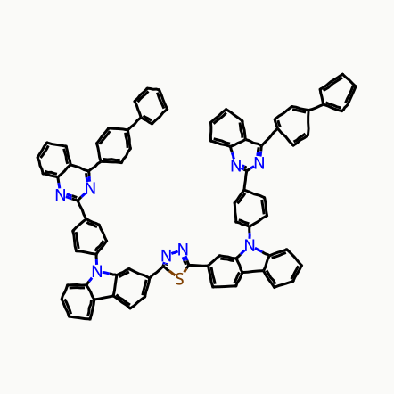 c1ccc(-c2ccc(-c3nc(-c4ccc(-n5c6ccccc6c6ccc(-c7nnc(-c8ccc9c%10ccccc%10n(-c%10ccc(-c%11nc(-c%12ccc(-c%13ccccc%13)cc%12)c%12ccccc%12n%11)cc%10)c9c8)s7)cc65)cc4)nc4ccccc34)cc2)cc1